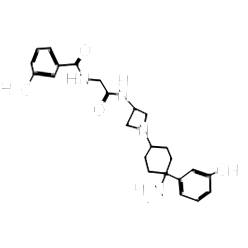 Cc1cccc(C(=O)NCC(=O)NC2CN(C3CCC(N)(c4cccc(C)c4)CC3)C2)c1